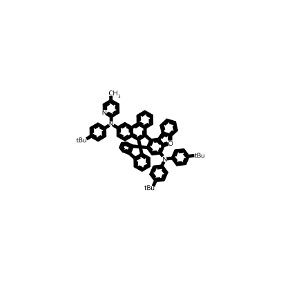 Cc1ccc(N(c2ccc(C(C)(C)C)cc2)c2ccc3c4c(c5ccccc5c3c2)-c2c(cc(N(c3ccc(C(C)(C)C)cc3)c3ccc(C(C)(C)C)cc3)c3oc5ccccc5c23)C42c3ccccc3-c3ccccc32)nc1